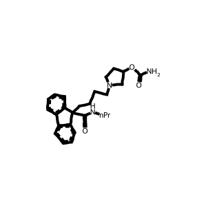 CCCNC(=O)C1(CCCCN2CCC(OC(N)=O)C2)c2ccccc2-c2ccccc21